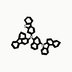 C1=Cc2c(sc3cc(N(c4ccc(-n5c6ccccc6c6c7ccccc7ccc65)c5ccccc45)c4ccc5c6c(cccc46)-c4ccccc4-5)ccc23)CC1